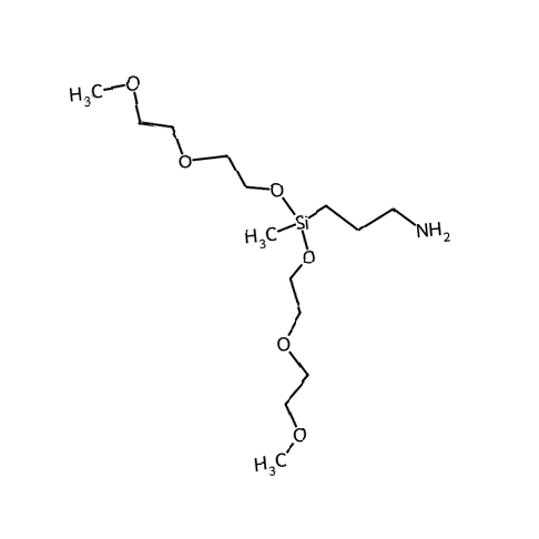 COCCOCCO[Si](C)(CCCN)OCCOCCOC